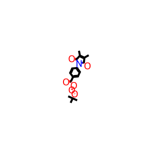 CC1=C(C)C(=O)N(c2ccc(C(=O)OOOC(C)(C)C)cc2)C1=O